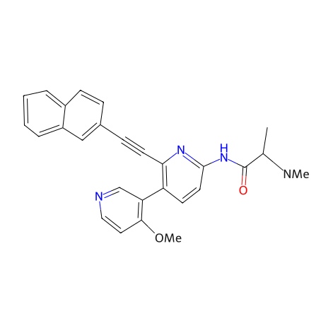 CNC(C)C(=O)Nc1ccc(-c2cnccc2OC)c(C#Cc2ccc3ccccc3c2)n1